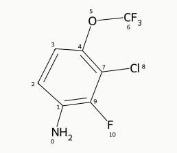 Nc1ccc(OC(F)(F)F)c(Cl)c1F